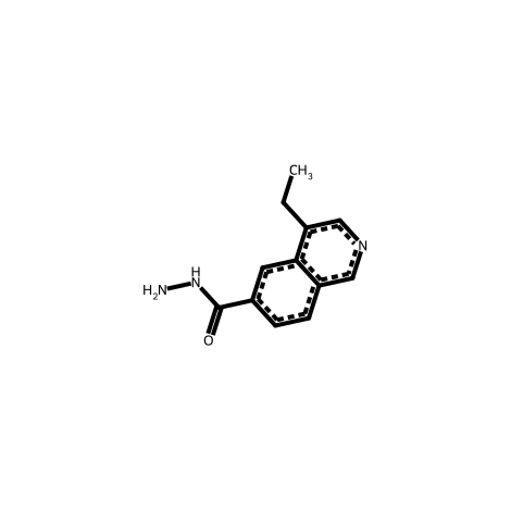 CCc1cncc2ccc(C(=O)NN)cc12